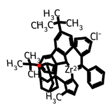 CC1=CC[C]([Zr+2](=[C](c2ccccc2)c2ccccc2)[CH]2c3ccc(C(C)(C)C)cc3-c3cc(C(C)(C)C)ccc32)=C1C12CC3CC(CC(C3)C1)C2.[Cl-].[Cl-]